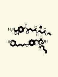 C#C[C@H](CC(=O)OCC)NC(=O)CCC(=O)Nc1ccc(C(=N)N)cc1.CCCCS(=O)(=O)N[C@@H](Cc1ccc(OCCCCC2CCNCC2)cc1)C(=O)O